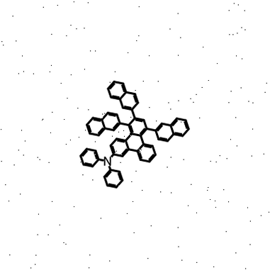 c1ccc(N(c2ccccc2)c2ccc3c(c2)c2ccccc2c2c(-c4ccc5ccccc5c4)cc(-c4ccc5ccccc5c4)c(-c4ccc5ccccc5c4)c32)cc1